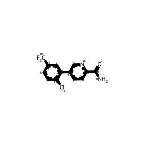 NC(=O)c1ccc(-c2cc(C(F)(F)F)ccc2Cl)cn1